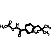 CS(=O)ONC(=O)c1ccc(CC(C)(C)C)cc1